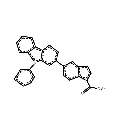 COC(=O)n1ccc2cc(-c3ccc4c5ccccc5n(-c5ccccc5)c4c3)ccc21